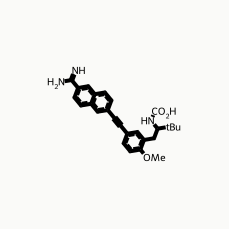 COc1ccc(C#Cc2ccc3cc(C(=N)N)ccc3c2)cc1CC(NC(=O)O)C(C)(C)C